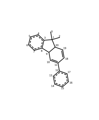 CC1(C)c2ccccc2C2C=C(c3ccccc3)C=CC21